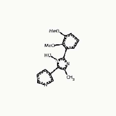 COc1cccc(-c2nc(C)c(-c3cccnc3)n2O)c1OC